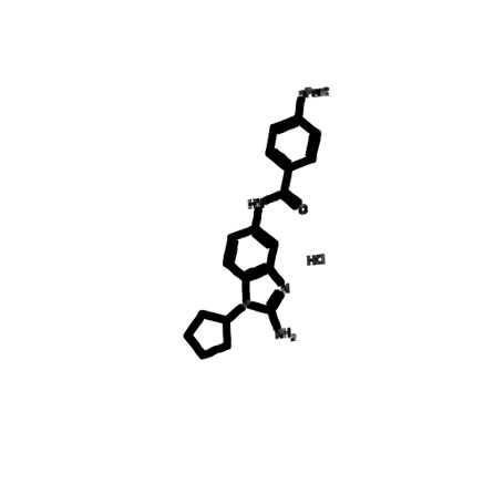 CCCCCc1ccc(C(=O)Nc2ccc3c(c2)nc(N)n3C2CCCC2)cc1.Cl